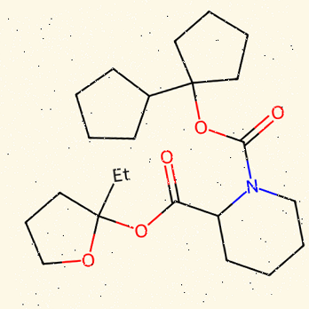 CCC1(OC(=O)C2CCCCN2C(=O)OC2(C3CCCC3)CCCC2)CCCO1